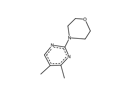 Cc1cnc(N2CCOCC2)nc1C